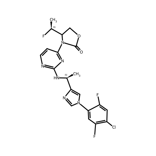 C[C@H](Nc1nccc(N2C(=O)OCC2[C@H](C)F)n1)c1cn(-c2cc(F)c(Cl)cc2F)cn1